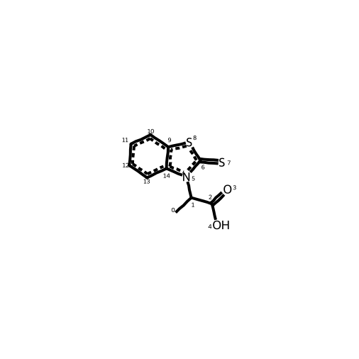 CC(C(=O)O)n1c(=S)sc2ccccc21